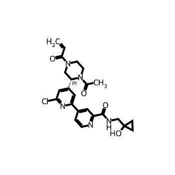 C=CC(=O)N1CCN(C(C)=O)[C@H](c2cc(Cl)nc(-c3ccnc(C(=O)NCC4(O)CC4)c3)c2)C1